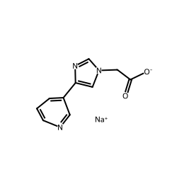 O=C([O-])Cn1cnc(-c2cccnc2)c1.[Na+]